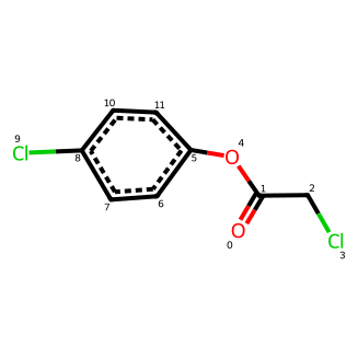 O=C(CCl)Oc1ccc(Cl)cc1